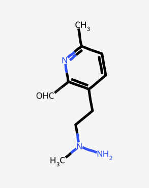 Cc1ccc(CCN(C)N)c(C=O)n1